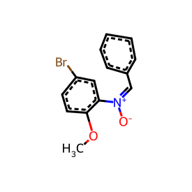 COc1ccc(Br)cc1/[N+]([O-])=C\c1ccccc1